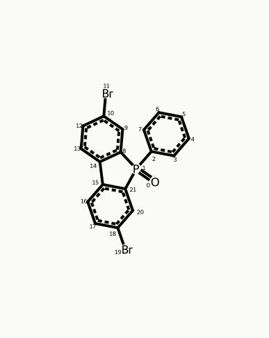 O=P1(c2ccccc2)c2cc(Br)ccc2-c2ccc(Br)cc21